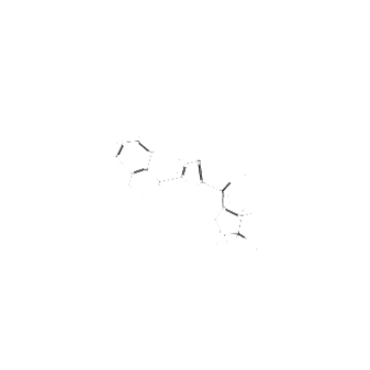 Cc1cc(F)ccc1Cc1ccc(C(=O)C2=C(O)C(=O)N(C)C2)o1